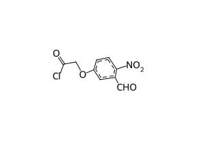 O=Cc1cc(OCC(=O)Cl)ccc1[N+](=O)[O-]